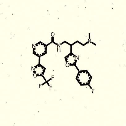 CN(C)CCC(CNC(=O)c1cncc(-c2cc(C(F)(F)F)on2)c1)c1coc(-c2ccc(F)cc2)n1